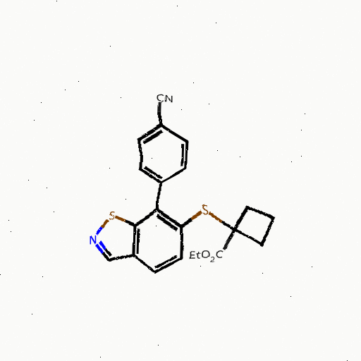 CCOC(=O)C1(Sc2ccc3cnsc3c2-c2ccc(C#N)cc2)CCC1